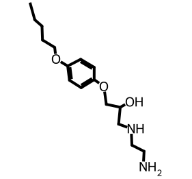 CCCCCOc1ccc(OCC(O)CNCCN)cc1